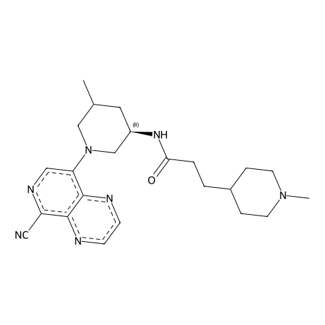 CC1C[C@@H](NC(=O)CCC2CCN(C)CC2)CN(c2cnc(C#N)c3nccnc23)C1